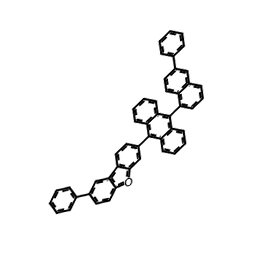 c1ccc(-c2ccc3c(-c4c5ccccc5c(-c5ccc6c(c5)oc5ccc(-c7ccccc7)cc56)c5ccccc45)cccc3c2)cc1